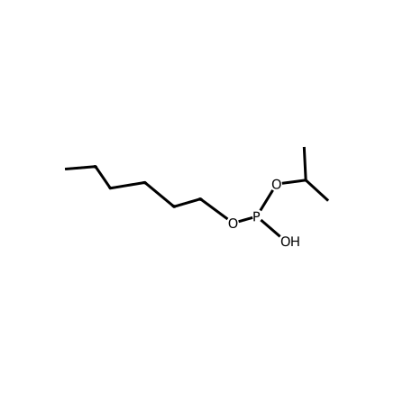 CCCCCCOP(O)OC(C)C